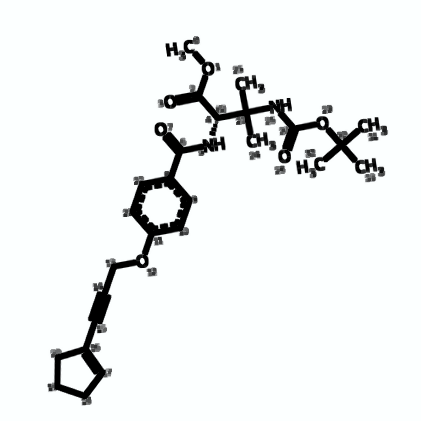 COC(=O)[C@@H](NC(=O)c1ccc(OCC#CC2=CCCC2)cc1)C(C)(C)NC(=O)OC(C)(C)C